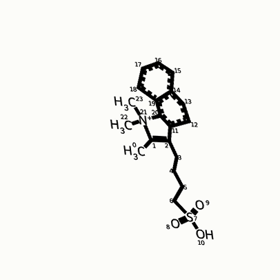 CC1=C(CCCCS(=O)(=O)O)c2ccc3ccccc3c2[N+]1(C)C